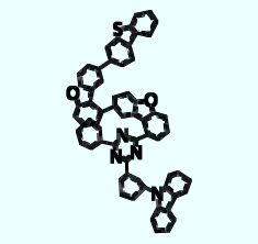 c1ccc(-c2nc(-c3cccc(-n4c5ccccc5c5ccccc54)c3)nc(-c3cccc4oc5ccc(-c6cccc7oc8ccc(-c9ccc%10c(c9)sc9ccccc9%10)cc8c67)cc5c34)n2)cc1